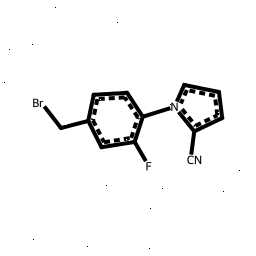 N#Cc1cccn1-c1ccc(CBr)cc1F